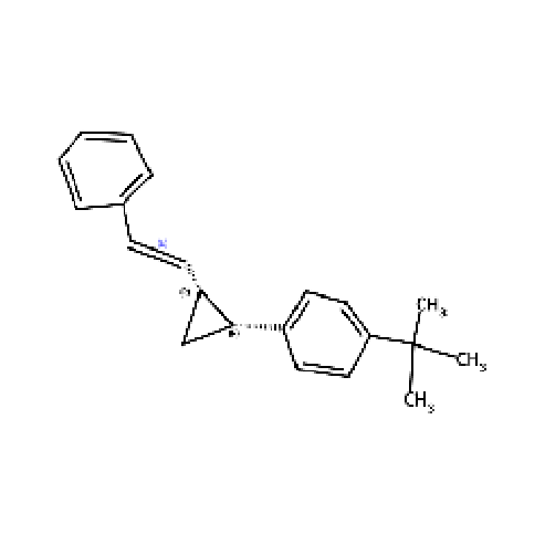 CC(C)(C)c1ccc([C@@H]2C[C@@H]2/C=C/c2ccccc2)cc1